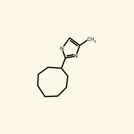 CC1=C[N]C(C2CCCCCCC2)=N1